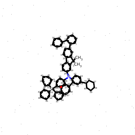 CC1(C)c2cc(-c3ccccc3-c3ccccc3)ccc2-c2ccc(N(c3ccc([Si](c4ccccc4)(c4ccccc4)c4ccccc4)cc3)c3ccc(C4CCCCC4)cc3-c3ccccc3)cc21